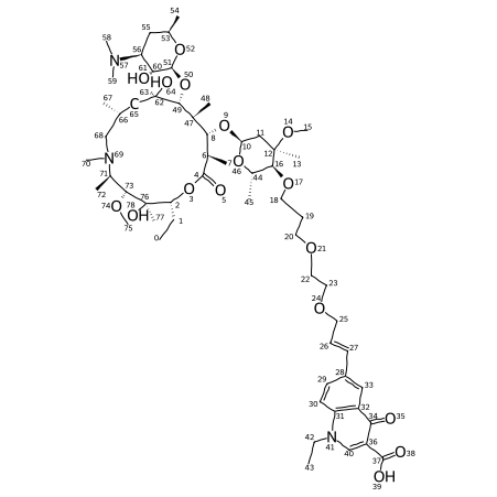 CC[C@H]1OC(=O)[C@H](C)[C@@H](O[C@H]2C[C@@](C)(OC)[C@@H](OCCCOCCOC/C=C/c3ccc4c(c3)c(=O)c(C(=O)O)cn4CC)[C@H](C)O2)[C@H](C)[C@@H](O[C@@H]2O[C@H](C)C[C@H](N(C)C)[C@H]2O)[C@](C)(O)C[C@@H](C)CN(C)[C@H](C)[C@@H](OC)[C@]1(C)O